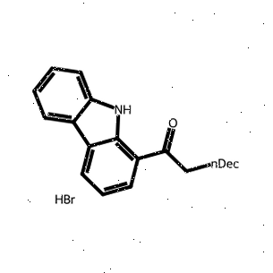 Br.CCCCCCCCCCCC(=O)c1cccc2c1[nH]c1ccccc12